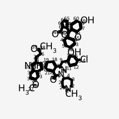 CN1CCCC(n2nc(Cc3ccc(Cl)cc3)c3ccccc3c2=O)CC1.COc1ccc2cc(CCC(C)=O)ccc2c1.O=C1OC2(c3ccc(O)cc3Oc3cc(O)ccc32)c2ccccc21.[NaH]